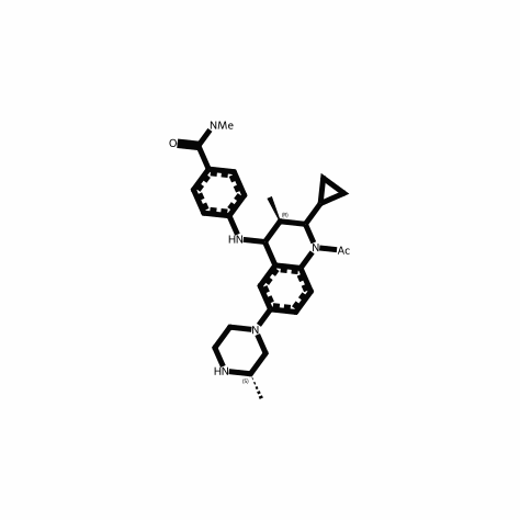 CNC(=O)c1ccc(NC2c3cc(N4CCN[C@@H](C)C4)ccc3N(C(C)=O)C(C3CC3)[C@@H]2C)cc1